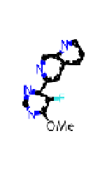 COc1ncnc(-c2cc3cccnc3cn2)c1F